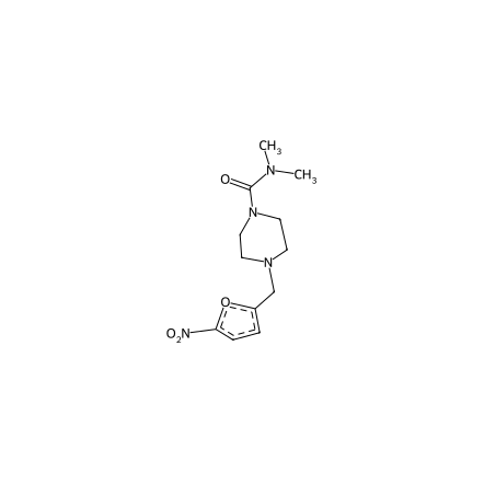 CN(C)C(=O)N1CCN(Cc2ccc([N+](=O)[O-])o2)CC1